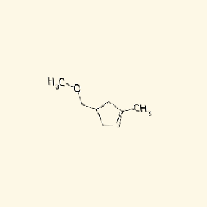 COCC1CC=C(C)C1